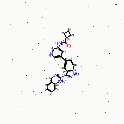 O=C(Nc1cncc(-c2ccc3[nH]nc(C4=NCc5ccccc5N4)c3c2)c1)C1CCC1